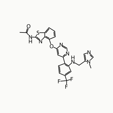 CC(=O)Nc1nc2c(Oc3cc(-c4ccc(C(F)(F)F)cc4NCc4cncn4C)ncn3)cccc2s1